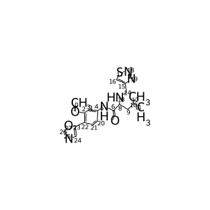 COc1cc(NC(=O)C(CC(C)C)NCc2csnn2)ccc1-c1cnco1